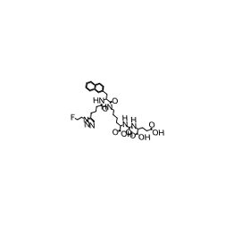 O=C(O)CCC(NC(=O)NC(CCCCNC(=O)C(Cc1ccc2ccccc2c1)NC(=O)CCCc1cnnn1CCF)C(=O)O)C(=O)O